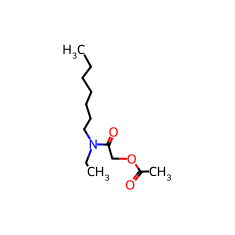 CCCCCCCN(CC)C(=O)COC(C)=O